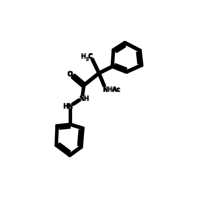 CC(=O)NC(C)(C(=O)NNc1ccccc1)c1ccccc1